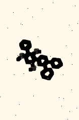 COc1cc(OC)c(-c2ccccc2)c(OC)c1-c1[c]c(C2CCCCC2)c(C2CCCCC2)cc1